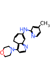 Cc1ccnc(NC2=Cc3nccc(N4CCOCC4)c3CC=C2)c1